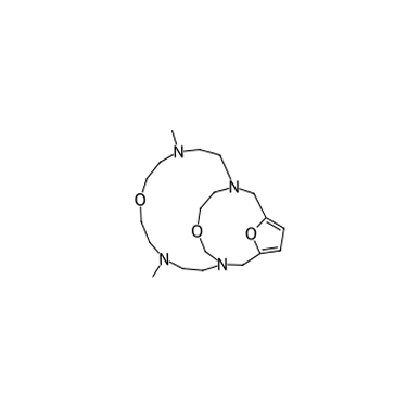 CN1CCOCCN(C)CCN2COCCN(CC1)Cc1ccc(o1)C2